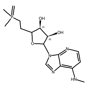 C=P(C)(C)CCC1OC(n2cnc3c(NC)ccnc32)[C@H](O)[C@@H]1O